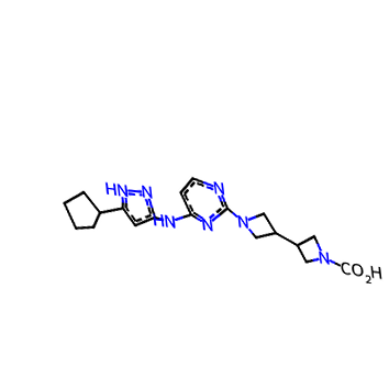 O=C(O)N1CC(C2CN(c3nccc(Nc4cc(C5CCCC5)[nH]n4)n3)C2)C1